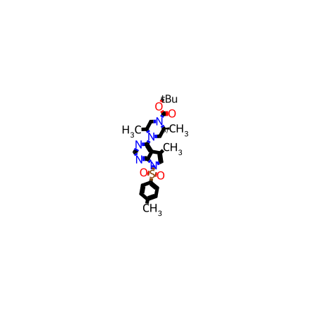 Cc1ccc(S(=O)(=O)n2cc(C)c3c(N4C[C@H](C)N(C(=O)OC(C)(C)C)CC4C)ncnc32)cc1